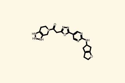 O=C(Cc1nnc(-c2cnc(NC3CC4=C(C3)OCC4)nc2)o1)N1CCC2=C(C1)NNN2